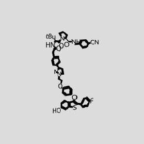 CC(C)(C)[C@H](NC(=O)Cc1ccc(-c2ccn(CCOc3ccc(Oc4c(-c5ccc(F)cc5)sc5cc(O)ccc45)cc3)n2)cc1)C(=O)N1CCC[C@H]1C(=O)NCc1ccc(C#N)cc1